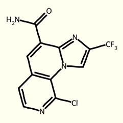 NC(=O)c1cc2ccnc(Cl)c2n2cc(C(F)(F)F)nc12